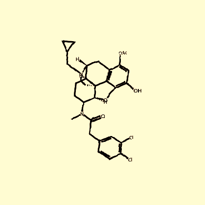 CC(=O)Oc1cc(O)c2c3c1C[C@@H]1[C@@H]4CC[C@H](N(C)C(=O)Cc5ccc(Cl)c(Cl)c5)[C@H](O2)[C@]34CCN1CC1CC1